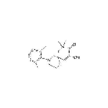 Cc1cccc(C)c1N1CCOC2(C=C(C#N)C(=O)C(C)(C)C2)C1